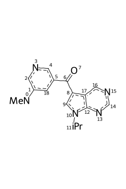 CNc1cncc(C(=O)c2cn(C(C)C)c3ncncc23)c1